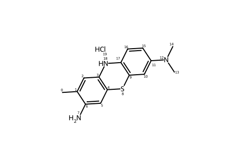 Cc1cc2c(cc1N)Sc1cc(N(C)C)ccc1N2.Cl